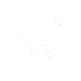 CC(C)[Si](OCCCn1cc(-c2ncnc3oc(-c4ccccc4)nc23)c(-c2ccc(F)cc2)n1)(C(C)C)C(C)C